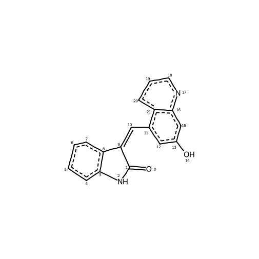 O=C1Nc2ccccc2C1=Cc1cc(O)cc2ncccc12